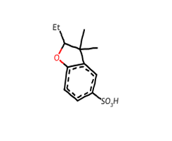 CCC1Oc2ccc(S(=O)(=O)O)cc2C1(C)C